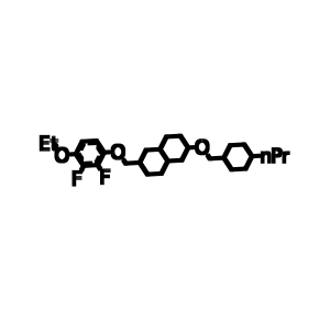 CCCC1CCC(COC2CCC3CC(COc4ccc(OCC)c(F)c4F)CCC3C2)CC1